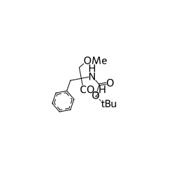 COCC(Cc1ccccc1)(NC(=O)OC(C)(C)C)C(=O)O